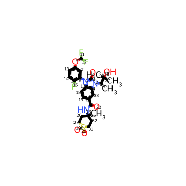 CC(n1c(=O)n(-c2cc(OC(F)F)ccc2F)c2ccc(C(=O)NC3(C)CCS(=O)(=O)CC3)cc21)C(C)(C)O